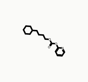 O=C(OCCCCC1CCCCC1)Oc1ccccn1